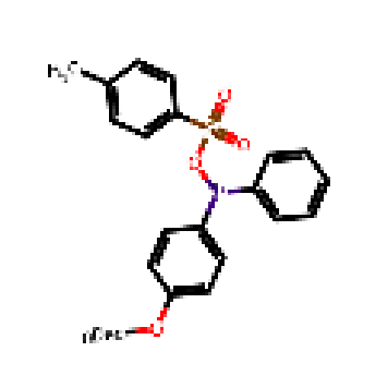 CCCCCCCCCCOc1ccc([I+](OS(=O)(=O)c2ccc(C)cc2)c2ccccc2)cc1